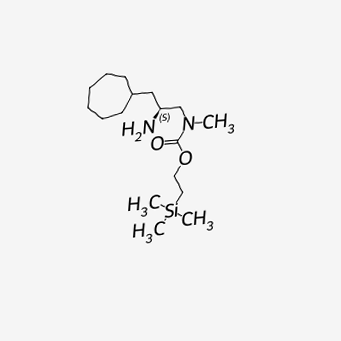 CN(C[C@@H](N)CC1CCCCCC1)C(=O)OCC[Si](C)(C)C